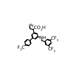 CC(C)CC(C(=O)O)c1cc(NCc2cc(C(F)(F)F)cc(C(F)(F)F)c2)cc(-c2ccc(C(F)(F)F)cc2)c1